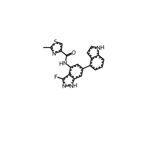 Cc1nc(C(=O)Nc2cc(-c3cccc4[nH]ccc34)cc3[nH]nc(F)c23)cs1